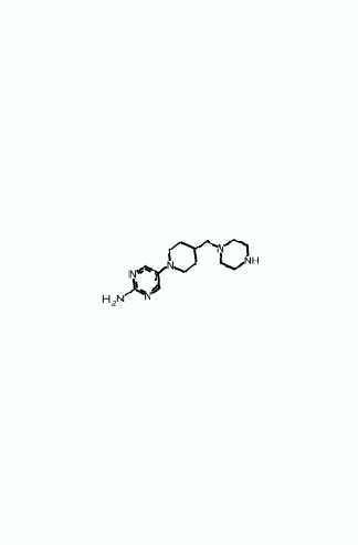 Nc1ncc(N2CCC(CN3CCNCC3)CC2)cn1